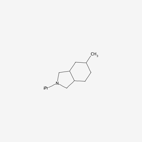 CC1CCC2CN(C(C)C)CC2C1